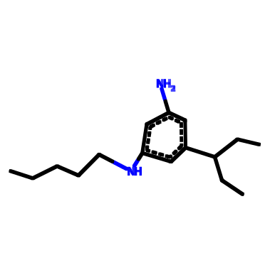 CCCCCNc1cc(N)cc(C(CC)CC)c1